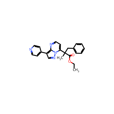 CCOC(=O)C(C)(Cc1ccccc1)c1ccnc2c(-c3ccncc3)cnn12